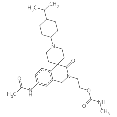 CNC(=O)OCCN1Cc2cc(NC(C)=O)ccc2C2(CCN(C3CCC(C(C)C)CC3)CC2)C1=O